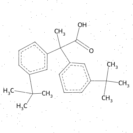 CC(C)(C)c1cccc(C(C)(C(=O)O)c2cccc(C(C)(C)C)c2)c1